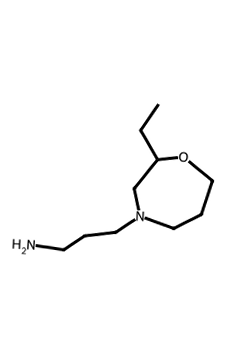 CCC1CN(CCCN)CCCO1